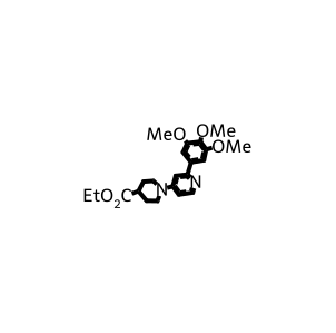 CCOC(=O)C1CCN(c2ccnc(-c3cc(OC)c(OC)c(OC)c3)c2)CC1